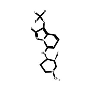 CN1CC[C@@H](Nc2cccc3c(SC(F)(F)F)c(I)nn23)[C@@H](F)C1